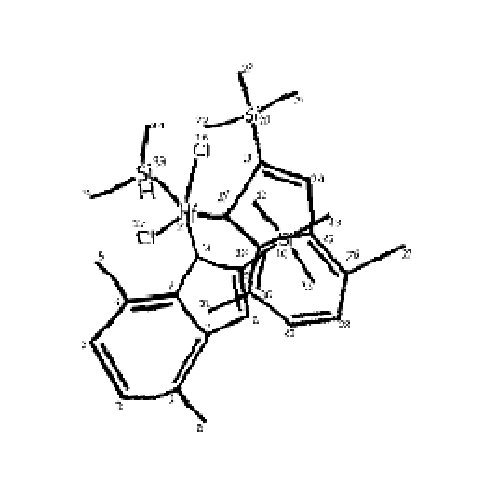 Cc1ccc(C)c2c1C=C([Si](C)(C)C)[CH]2[Hf]([Cl])([Cl])([CH]1C([Si](C)(C)C)=Cc2c(C)ccc(C)c21)[SiH](C)C